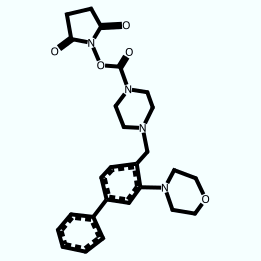 O=C(ON1C(=O)CCC1=O)N1CCN(Cc2ccc(-c3ccccc3)cc2N2CCOCC2)CC1